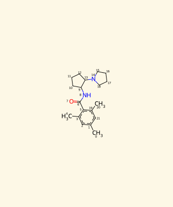 Cc1cc(C)c(C(=O)NC2CCCC2N2CCCC2)c(C)c1